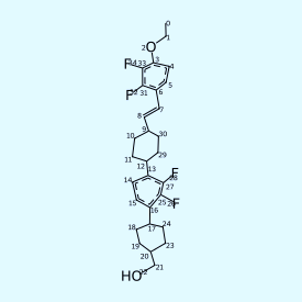 CCOc1ccc(/C=C/C2CCC(c3ccc(C4CCC(CO)CC4)c(F)c3F)CC2)c(F)c1F